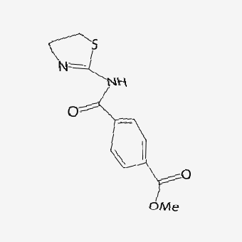 COC(=O)c1ccc(C(=O)NC2=NCCS2)cc1